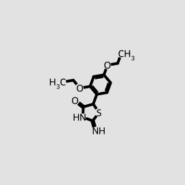 CCOc1ccc(C2SC(=N)NC2=O)c(OCC)c1